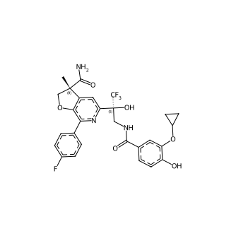 C[C@]1(C(N)=O)COc2c1cc([C@@](O)(CNC(=O)c1ccc(O)c(OC3CC3)c1)C(F)(F)F)nc2-c1ccc(F)cc1